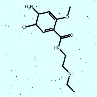 CCNCCNC(=O)C1=CC(Cl)C(N)C=C1OC